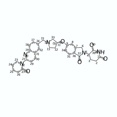 O=C1CCC(N2Cc3cc(O[C@H]4CCN(Cc5ccc6nc(-n7ccccc7=O)ccc6c5)C4)ccc3C2=O)C(=O)N1